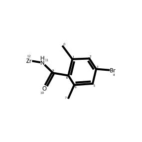 Cc1cc(Br)cc(C)c1C(=O)[NH][Zr]